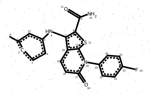 Cc1cccc(Nc2c(C(N)=O)sc3c2ccc(=O)n3-c2ccc(F)cc2)c1